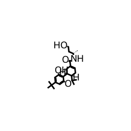 C[C@@H](CCO)NC(=O)C1=CC[C@@H]2[C@@H](C1)c1c(O)cc(C(C)(C)C)cc1OC2(C)C